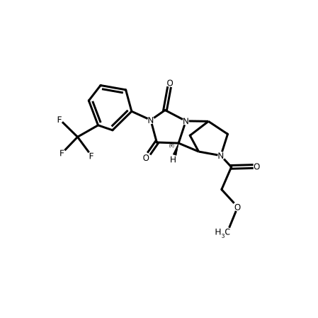 COCC(=O)N1CC2CC1[C@@H]1C(=O)N(c3cccc(C(F)(F)F)c3)C(=O)N21